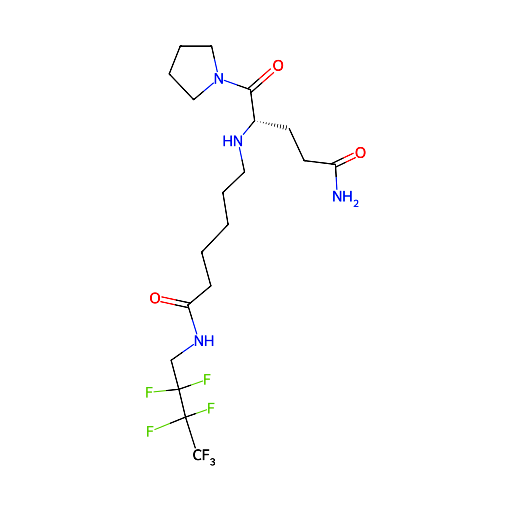 NC(=O)CC[C@H](NCCCCCC(=O)NCC(F)(F)C(F)(F)C(F)(F)F)C(=O)N1CCCC1